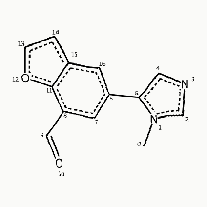 Cn1cncc1-c1cc(C=O)c2occc2c1